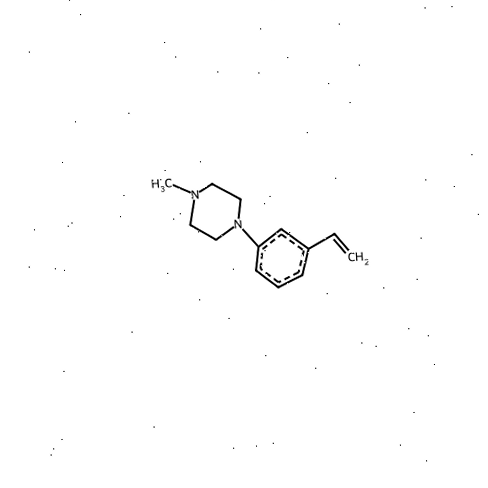 C=Cc1cccc(N2CCN(C)CC2)c1